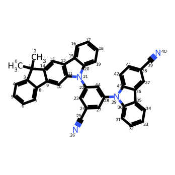 CC1(C)c2ccccc2-c2cc3c(cc21)c1ccccc1n3-c1cc(C#N)cc(-n2c3ccccc3c3cc(C#N)ccc32)c1